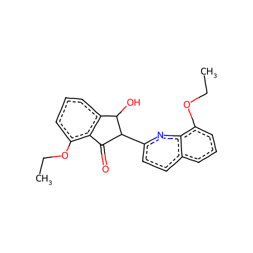 CCOc1cccc2c1C(=O)C(c1ccc3cccc(OCC)c3n1)C2O